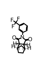 O=C1[C@@H]2[C@H]3CC[C@H](C3)[C@@H]2C(=O)N1c1cccc(C(F)(F)F)c1